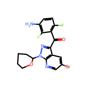 Nc1ccc(F)c(C(=O)c2nn(C3CCCCO3)c3ncc(Br)cc23)c1F